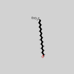 CCOC(=O)CCCCCCCCCCCCCCCCC[O]